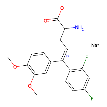 COc1ccc(/C(=C\CC(N)C(=O)[O-])c2ccc(F)cc2F)cc1OC.[Na+]